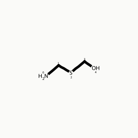 NCSCO